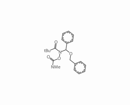 CNC(=O)ON(C(=O)C(C)(C)C)C(OCc1ccccc1)c1ccccc1